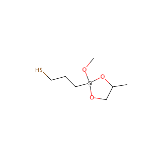 CO[Si]1(CCCS)OCC(C)O1